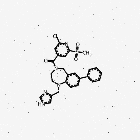 CS(=O)(=O)c1cc(C(=O)N2CCN(Cc3c[nH]cn3)c3ccc(-c4ccccc4)cc3C2)cc(Cl)n1